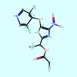 CC(OC(=O)CCl)c1nc([N+](=O)[O-])c(Sc2c(Cl)cncc2Cl)s1